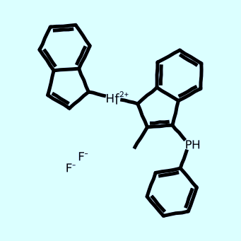 CC1=C(Pc2ccccc2)c2ccccc2[CH]1[Hf+2][CH]1C=Cc2ccccc21.[F-].[F-]